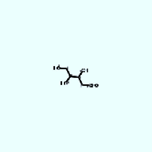 O=CCC(O)C(O)CO